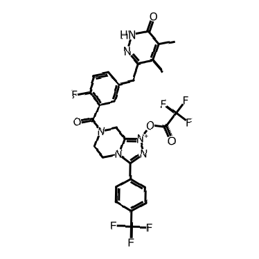 Cc1c(Cc2ccc(F)c(C(=O)N3CCn4c(-c5ccc(C(F)(F)F)cc5)n[n+](OC(=O)C(F)(F)F)c4C3)c2)n[nH]c(=O)c1C